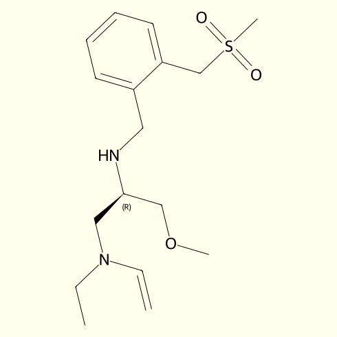 C=CN(CC)C[C@H](COC)NCc1ccccc1CS(C)(=O)=O